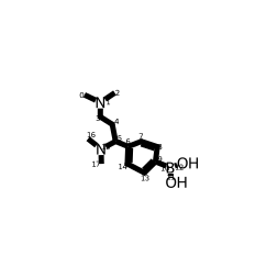 CN(C)CCC(c1ccc(B(O)O)cc1)N(C)C